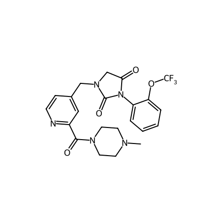 CN1CCN(C(=O)c2cc(CN3CC(=O)N(c4ccccc4OC(F)(F)F)C3=O)ccn2)CC1